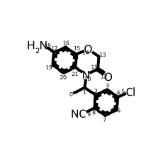 CC(c1cc(Cl)ccc1C#N)N1C(=O)COc2cc(N)ccc21